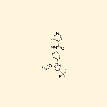 COc1cc(C(F)(F)F)nn1-c1ccc(NC(=O)c2ccncc2F)cc1